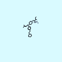 CCC(C)C(N)CN1CCC(N(CC=C(C)C)c2ccc(CCC3CCCCC3)cc2)CC1